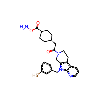 NOC(=O)[C@H]1CC[C@@H](CC(=O)N2CCc3c(n(Cc4cccc(S)c4)c4ncccc34)C2)CC1